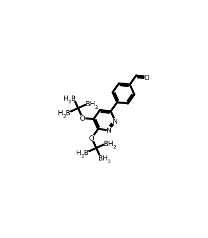 BC(B)(B)Oc1cc(-c2ccc(C=O)cc2)nnc1OC(B)(B)B